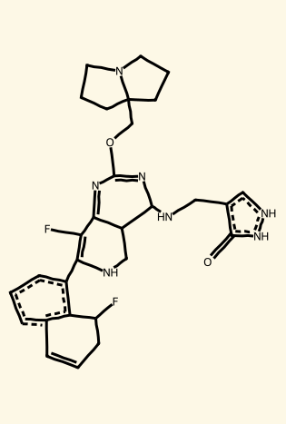 O=c1[nH][nH]cc1CNC1N=C(OCC23CCCN2CCC3)N=C2C(F)=C(c3cccc4c3C(F)CC=C4)NCC21